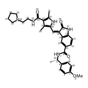 COc1ccc([C@H](C)NC(=O)c2ccc3c(c2)C(=Cc2[nH]c(C)c(C(=O)NCCN4CCCC4)c2C)C(=O)N3)cc1